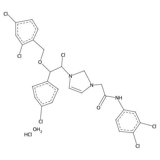 Cl.O.O=C(CN1C=CN(C(Cl)C(OCc2ccc(Cl)cc2Cl)c2ccc(Cl)cc2)C1)Nc1ccc(Cl)c(Cl)c1